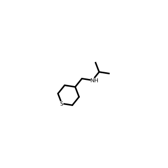 CC(C)NCC1CCSCC1